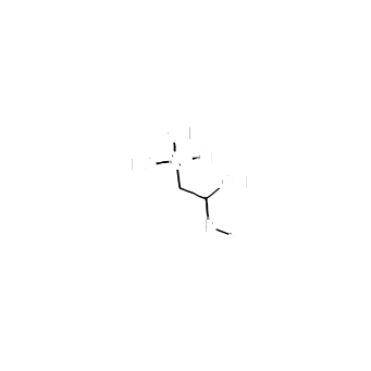 CC[P-]C(O)C[N+](C)(C)C